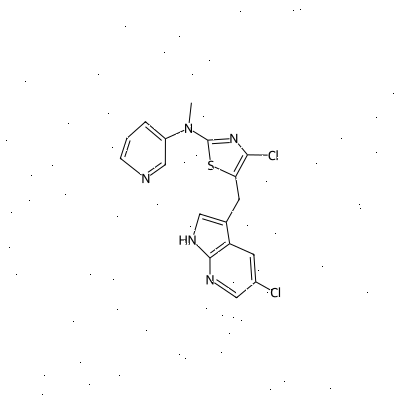 CN(c1cccnc1)c1nc(Cl)c(Cc2c[nH]c3ncc(Cl)cc23)s1